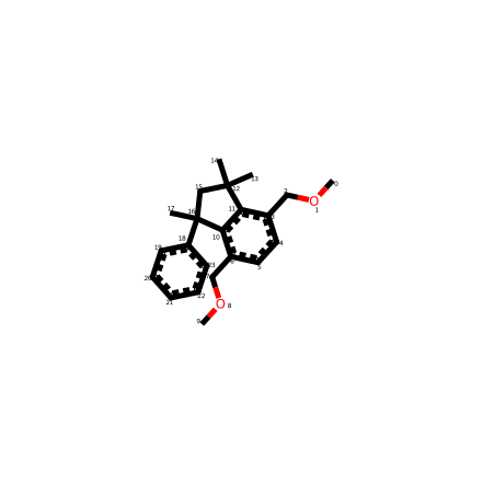 COCc1ccc(COC)c2c1C(C)(C)CC2(C)c1ccccc1